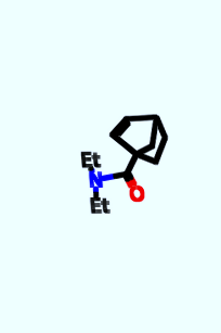 CCN(CC)C(=O)C12C=CC(CC1)C2